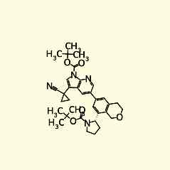 CC(C)(C)OC(=O)N1CCC[C@H]1c1cc(-c2cnc3c(c2)c(C2(C#N)CC2)cn3C(=O)OC(C)(C)C)cc2c1COCC2